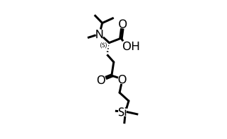 CC(C)N(C)[C@@H](CCC(=O)OCC[Si](C)(C)C)C(=O)O